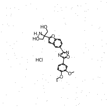 CCOc1ccc(-c2nc(-c3ccc4oc(C(N)(CO)CO)cc4c3)no2)cc1OC.Cl